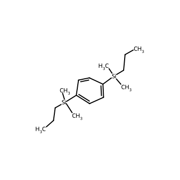 CCC[Si](C)(C)c1ccc([Si](C)(C)CCC)cc1